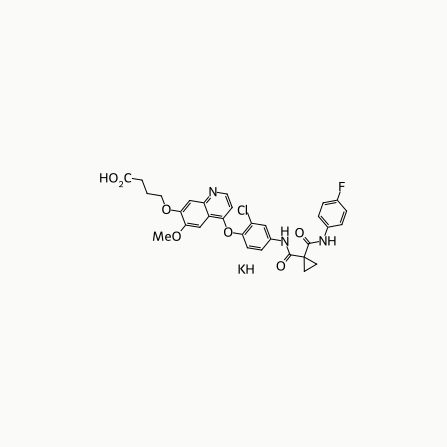 COc1cc2c(Oc3ccc(NC(=O)C4(C(=O)Nc5ccc(F)cc5)CC4)cc3Cl)ccnc2cc1OCCCC(=O)O.[KH]